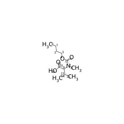 CCCCOC(=O)N(C)C(C(=O)O)C(C)C